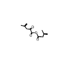 C=C(C)CC(=O)OC(=O)C(=O)CC(=C)C